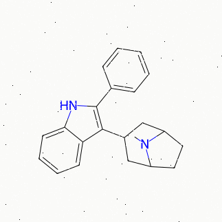 CN1C2CCC1CC(c1c(-c3ccccc3)[nH]c3ccccc13)C2